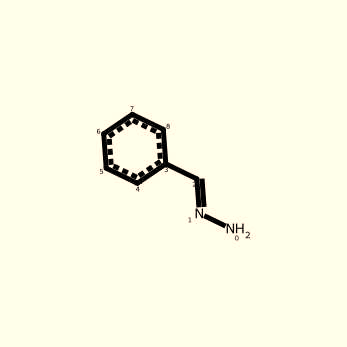 NN=Cc1[c]cccc1